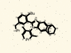 C/C=C(C)\C(=C(\C)C(C)C)n1c(-c2cc(CC(C)C)ccc2C(C)CC)nc2cc3c(cc21)C1CCC3CC1